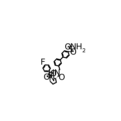 NS(=O)(=O)c1ccc(-c2cccc(CNC(=O)[C@@H]3CCCN3S(=O)(=O)c3ccc(F)cc3)c2)cc1